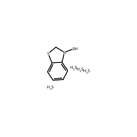 S.S.S.S.SN1CSc2ccccc21